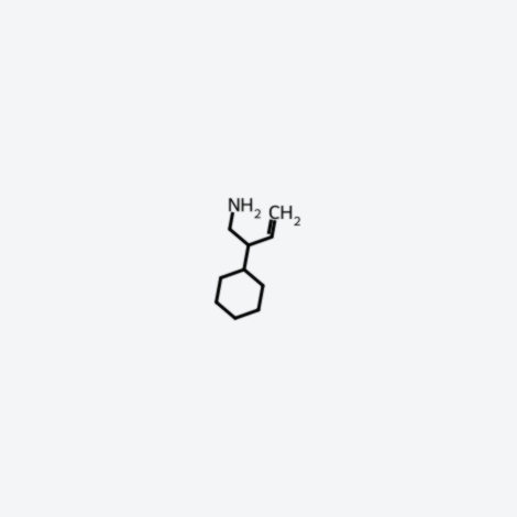 C=CC(CN)C1CCCCC1